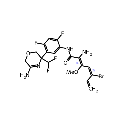 C=C/C(Br)=C\C(OC)=C(/N)C(=O)Nc1cc(C2(C(F)F)COCC(N)=N2)c(F)cc1F